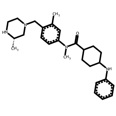 Cc1cc(N(C)C(=O)C2CCC(Nc3[c]cccc3)CC2)ccc1CN1CCN[C@@H](C)C1